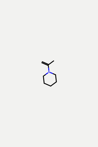 C=C(C)N1CCCCC1